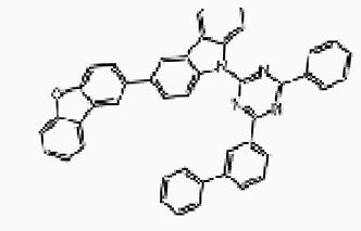 c1ccc(-c2cccc(-c3nc(-c4ccccc4)nc(-n4c5ccccc5c5cc(-c6ccc7oc8ccccc8c7c6)ccc54)n3)c2)cc1